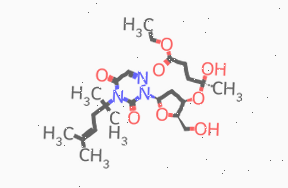 CCOC(=O)CC[C@@](C)(O)O[C@@H]1C[C@H](n2ncc(=O)n(C(C)(C)CC=C(C)C)c2=O)O[C@@H]1CO